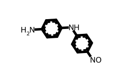 Nc1ccc(Nc2ccc(N=O)cc2)cc1